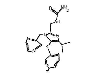 CC(C)c1nc(CNC(N)=O)n(Cc2cccnc2)c1Sc1cccc(F)c1